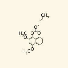 CCCCOC(=O)Oc1c(OC)cc(OC)c2ccccc12